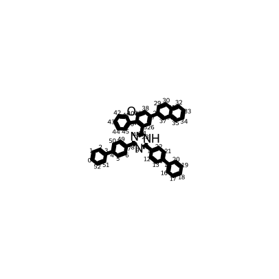 c1ccc(-c2ccc(C3=NC(c4ccc(-c5ccccc5)cc4)NC(c4cc(-c5ccc6ccccc6c5)cc5oc6ccccc6c45)=N3)cc2)cc1